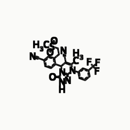 CC1=C(C#N)C(c2ccc(C#N)cc2CCS(C)(=O)=O)n2c(n[nH]c2=O)N1c1cccc(C(F)(F)F)c1